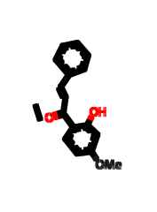 CC.COc1ccc(C(=O)/C=C/c2ccccc2)c(O)c1